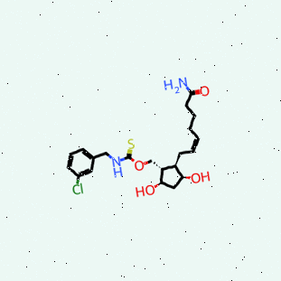 NC(=O)CCC/C=C\C[C@@H]1[C@@H](COC(=S)NCc2cccc(Cl)c2)[C@H](O)C[C@@H]1O